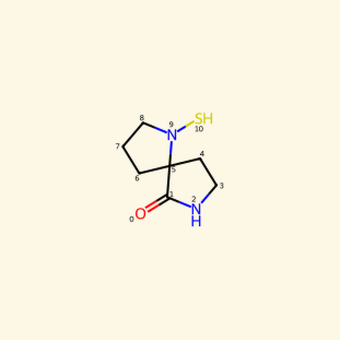 O=C1NCCC12CCCN2S